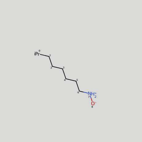 CC(C)CCCCCC[NH2+][O-]